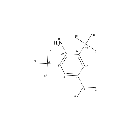 CC(C)c1cc(C(C)(C)C)c(N)c(C(C)(C)C)c1